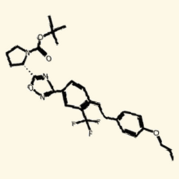 CCCOc1ccc(CCc2ccc(-c3noc([C@@H]4CCCN4C(=O)OC(C)(C)C)n3)cc2C(F)(F)F)cc1